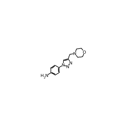 Nc1ccc(-n2cc(CN3CCOCC3)nn2)cc1